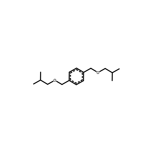 CC(C)COCc1ccc(COCC(C)C)cc1